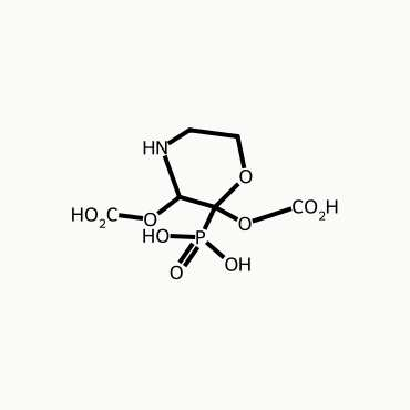 O=C(O)OC1NCCOC1(OC(=O)O)P(=O)(O)O